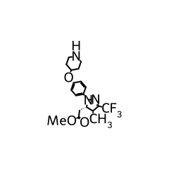 COC(=O)C[C@H]1[C@H](C)C(C(F)(F)F)=NN1c1ccc(OC2CCNCC2)cc1